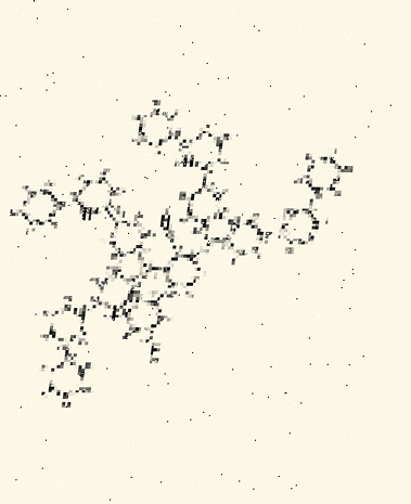 N#Cc1c(-n2c3ccc(-c4cccc(-c5ccccc5)n4)cc3c3cc(-c4cccc(-c5ccccc5)n4)ccc32)ccc(-c2cc(F)cc(F)c2)c1-n1c2ccc(-c3cccc(-c4ccccc4)n3)cc2c2cc(-c3cccc(-c4ccccc4)n3)ccc21